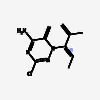 C=C(C)/C(=C/C)N1N=C(Cl)N=C(N)C1=C